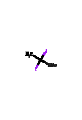 CNC(C)(I)I